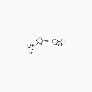 CC(C)[C@H](CO)NCc1cccc(C#Cc2ccc(S(F)(F)(F)(F)F)cc2)n1